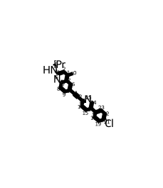 Cc1cc(NC(C)C)nc2ccc(C#Cc3ccc(-c4ccc(Cl)cc4)cn3)cc12